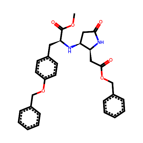 COC(=O)[C@H](Cc1ccc(OCc2ccccc2)cc1)N[C@H]1CC(=O)N[C@H]1CC(=O)OCc1ccccc1